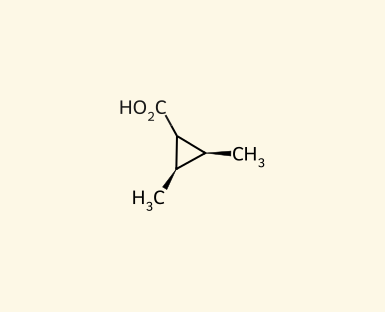 C[C@@H]1C(C(=O)O)[C@@H]1C